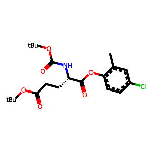 Cc1cc(Cl)ccc1OC(=O)[C@H](CCC(=O)OC(C)(C)C)NC(=O)OC(C)(C)C